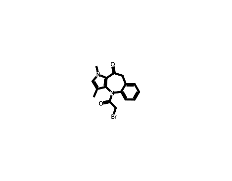 Cc1cn(C)c2c1N(C(=O)CBr)c1ccccc1CC2=O